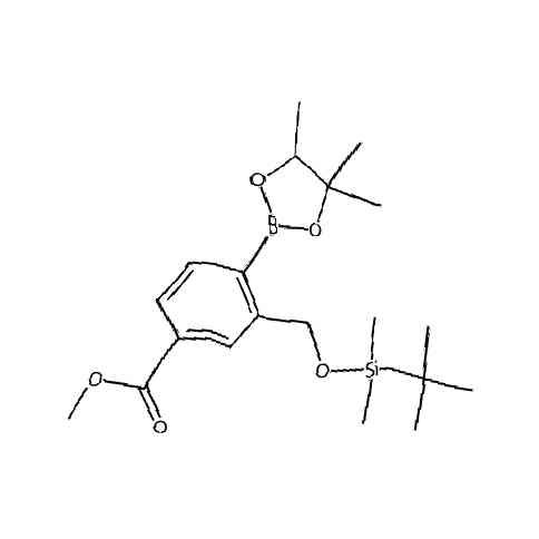 COC(=O)c1ccc(B2OC(C)C(C)(C)O2)c(CO[Si](C)(C)C(C)(C)C)c1